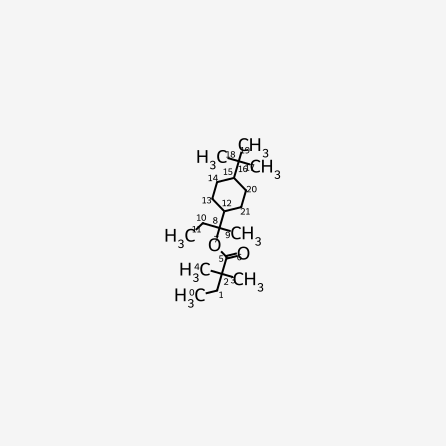 CCC(C)(C)C(=O)OC(C)(CC)C1CCC(C(C)(C)C)CC1